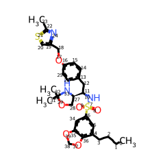 CCCCc1cc(S(=O)(=O)NC(Cc2ccc(OCc3csc(C)n3)cc2)[C@H]2COC(C)(C)N2)cc2c1OCO2